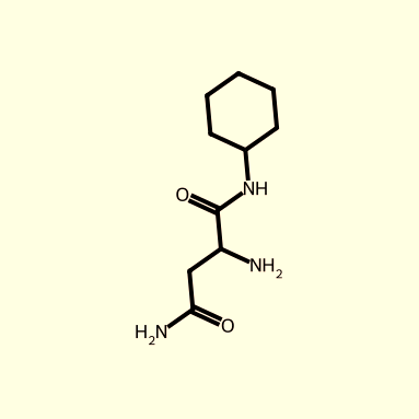 NC(=O)CC(N)C(=O)NC1CCCCC1